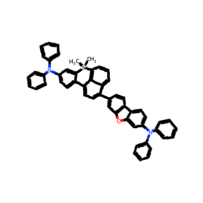 C[Si]1(C)c2cc(N(c3ccccc3)c3ccccc3)ccc2-c2ccc(-c3ccc4c(c3)oc3cc(N(c5ccccc5)c5ccccc5)ccc34)c3cccc1c23